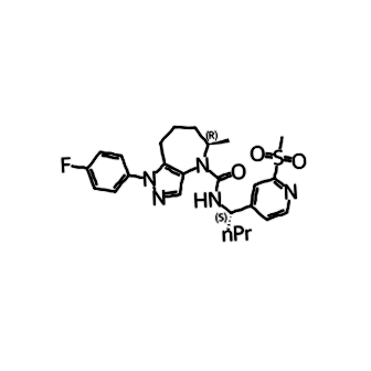 CCC[C@H](NC(=O)N1c2cnn(-c3ccc(F)cc3)c2CCC[C@H]1C)c1ccnc(S(C)(=O)=O)c1